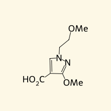 COCCn1cc(C(=O)O)c(OC)n1